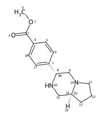 COC(=O)c1ccc([C@@H]2CN3CCC[C@H]3CN2)cc1